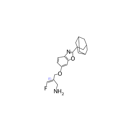 NC/C(=C\F)COc1ccc2nc(C34CC5CC(CC(C5)C3)C4)oc2c1